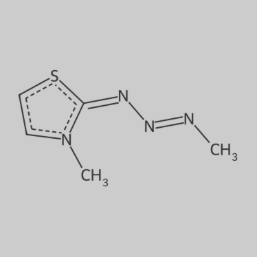 C/N=N/N=c1/sccn1C